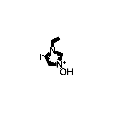 C=Cn1cc[n+](O)c1.[I-]